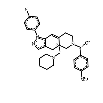 CC(C)(C)c1ccc([S+]([O-])N2CCC3=Cc4c(cnn4-c4ccc(F)cc4)C[C@]3(CN3CCCCC3)C2)cc1